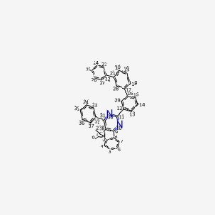 C[Si]1(C)c2ccccc2-c2nc(-c3cccc(-c4cccc(-c5ccccc5)c4)c3)nc(-c3ccccc3)c21